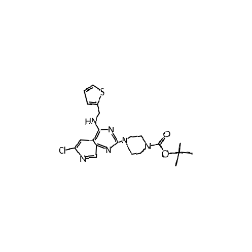 CC(C)(C)OC(=O)N1CCN(c2nc(NCc3cccs3)c3cc(Cl)ncc3n2)CC1